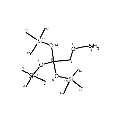 C[Si](C)(C)OC(CO[SiH3])(O[Si](C)(C)C)O[Si](C)(C)C